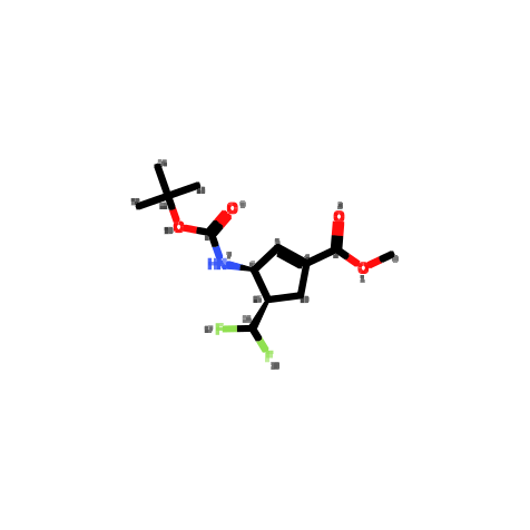 COC(=O)C1=C[C@H](NC(=O)OC(C)(C)C)[C@H](C(F)F)C1